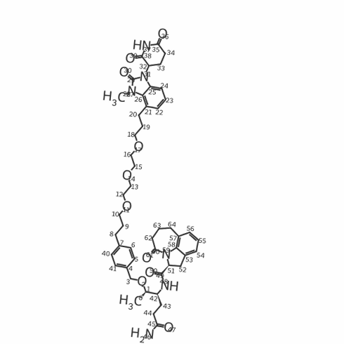 C[C@@H](OCc1ccc(CCCOCCOCCOCCCc2cccc3c2n(C)c(=O)n3C2CCC(=O)NC2=O)cc1)[C@H](CCC(N)=O)NC(=O)[C@@H]1Cc2cccc3c2N1C(=O)CCC3